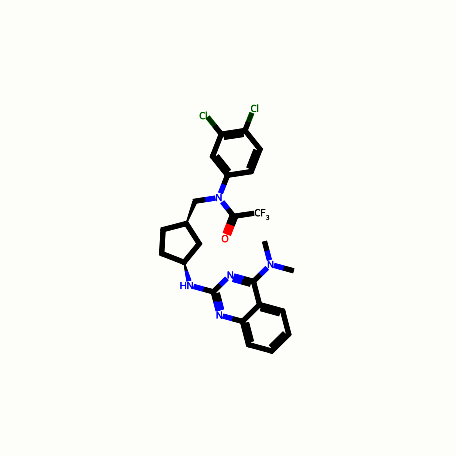 CN(C)c1nc(N[C@H]2CC[C@@H](CN(C(=O)C(F)(F)F)c3ccc(Cl)c(Cl)c3)C2)nc2ccccc12